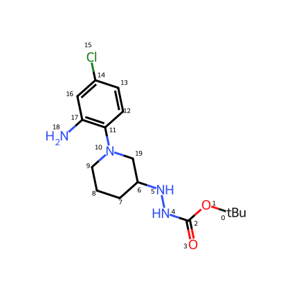 CC(C)(C)OC(=O)NNC1CCCN(c2ccc(Cl)cc2N)C1